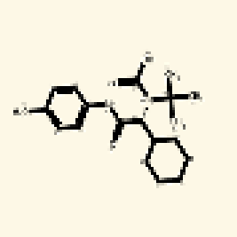 Cc1ccc(NC(=O)[C@@H](C2CCCCC2)N(C(=O)O)C(C)(C)C)cc1